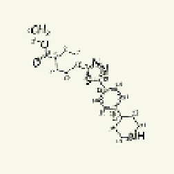 CCOC(=O)C1CCC(c2nnc(-c3ccc(C4CCNCC4)cc3)s2)CC1